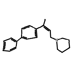 CC(=CCN1CCCCC1)c1ccc(-c2ccccc2)cc1